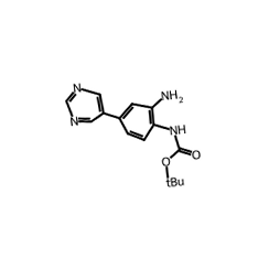 CC(C)(C)OC(=O)Nc1ccc(-c2cncnc2)cc1N